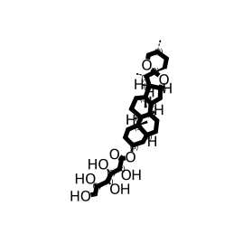 C[C@@H]1CC[C@@]2(OC1)O[C@H]1C[C@H]3[C@@H]4CC[C@H]5C[C@@H](OC(=O)[C@H](O)[C@@H](O)[C@H](O)[C@H](O)CO)CC[C@]5(C)[C@H]4CC[C@]3(C)[C@H]1[C@@H]2C